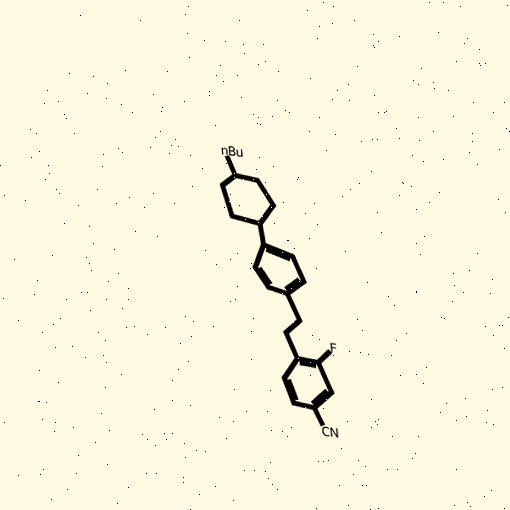 CCCCC1CCC(c2ccc(CCc3ccc(C#N)cc3F)cc2)CC1